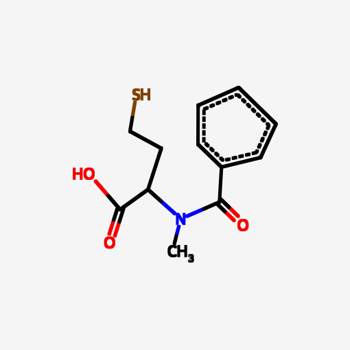 CN(C(=O)c1ccccc1)C(CCS)C(=O)O